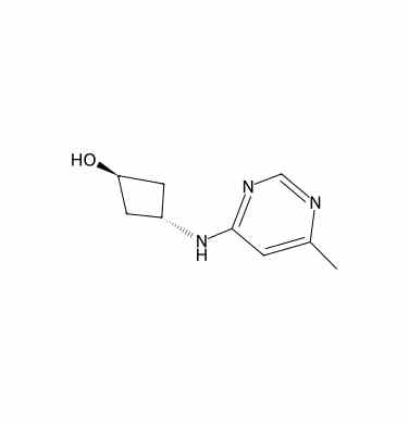 Cc1cc(N[C@H]2C[C@H](O)C2)ncn1